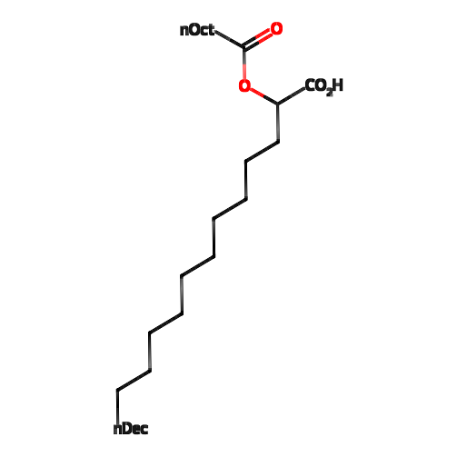 CCCCCCCCCCCCCCCCCCCCC(OC(=O)CCCCCCCC)C(=O)O